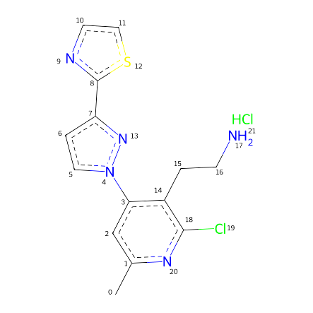 Cc1cc(-n2ccc(-c3nccs3)n2)c(CCN)c(Cl)n1.Cl